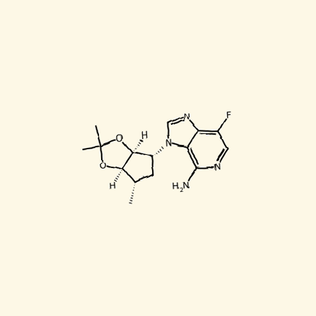 C[C@H]1C[C@@H](n2cnc3c(F)cnc(N)c32)[C@@H]2OC(C)(C)O[C@@H]21